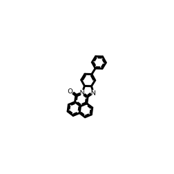 O=c1c2cccc3cccc(c4n1C1C=CC(c5ccccc5)=CC1N=4)c32